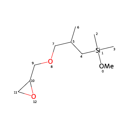 CO[Si](C)(C)CC(C)COCC1CO1